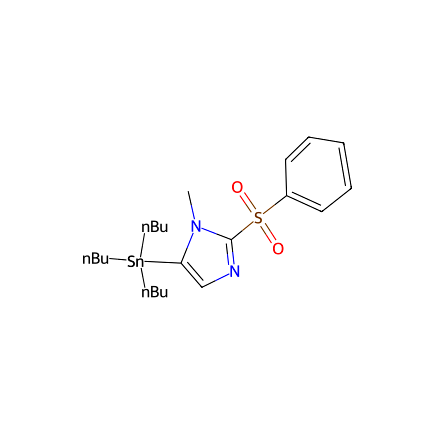 CCC[CH2][Sn]([CH2]CCC)([CH2]CCC)[c]1cnc(S(=O)(=O)c2ccccc2)n1C